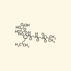 CC(C)CCc1ccc(OC2OC(C(=O)O)C(O)C(O)C2O)c(NC(=O)CCNC(=O)CCN2C(=O)CC(C(C)C)C2=O)c1